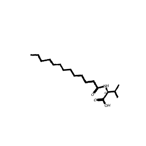 CCCCCCCCCCCCC(=O)N[C@H](C(=O)O)C(C)C